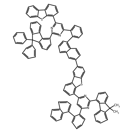 CC1(C)c2ccccc2-c2c(-c3nc(-c4ccccc4-c4cccc5ccccc45)cc(-c4cccc5c4sc4ccc(-c6ccc7c(-c8ccccc8-c8cc(-c9cccc%10c9sc9ccccc9%10)nc(-c9cccc%10c9-c9ccccc9C%10(c9ccccc9)c9ccccc9)n8)cccc7c6)cc45)n3)cccc21